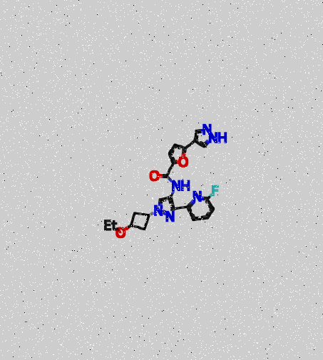 CCO[C@H]1C[C@H](n2cc(NC(=O)c3ccc(-c4cn[nH]c4)o3)c(-c3cccc(F)n3)n2)C1